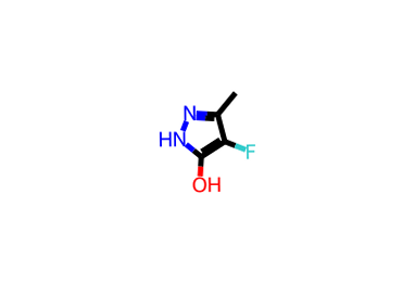 Cc1n[nH]c(O)c1F